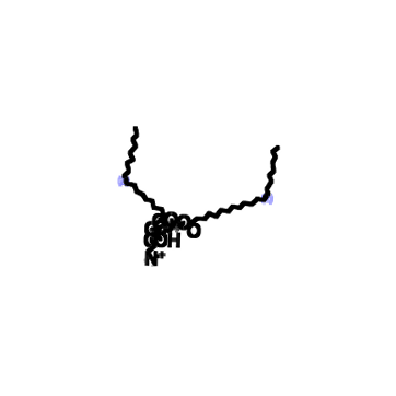 CCCCCCCC/C=C\CCCCCCCCCCCC(=O)OC[C@H](COP(=O)(O)OCC[N+](C)(C)C)OC(=O)CCCCCCC/C=C\CCCCCCCC